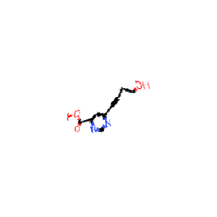 O=C(O)c1cc(C#CCCO)ncn1